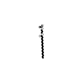 CCCCCCCCCCCCCCCC(=O)OCCCO[N+](=O)[O-]